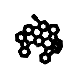 C#Cc1cccc(-c2c(-c3ccccc3)c(-n3c4ccccc4c4ccccc43)nc(-n3c4ccccc4c4ccccc43)c2-n2c3ccccc3c3ccccc32)c1C#N